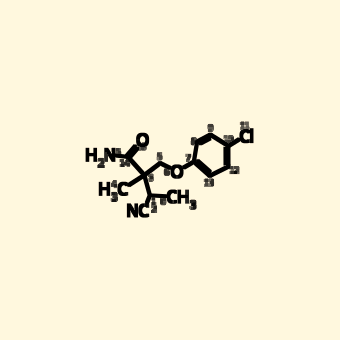 CC(C#N)C(C)(COc1ccc(Cl)cc1)C(N)=O